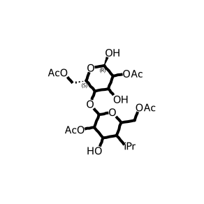 CC(=O)OCC1OC(OC2C(O)C(OC(C)=O)[C@H](O)O[C@H]2COC(C)=O)C(OC(C)=O)C(O)C1C(C)C